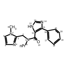 CCCN(Cc1nccn1C)C(=O)c1[nH]cnc1-c1ccccc1